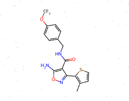 Cc1ccsc1-c1noc(N)c1C(=O)NCc1ccc(OC(F)(F)F)cc1